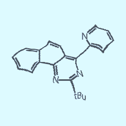 CC(C)(C)c1nc(-c2ccccn2)c2ccc3ccccc3c2n1